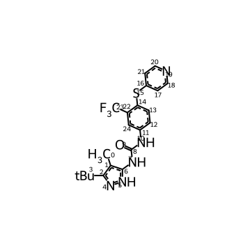 Cc1c(C(C)(C)C)n[nH]c1NC(=O)Nc1ccc(Sc2ccncc2)c(C(F)(F)F)c1